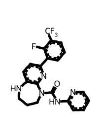 O=C(Nc1ccccn1)N1CCCNc2ccc(-c3cccc(C(F)(F)F)c3F)nc21